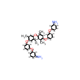 Cc1cc(Oc2cc(C)c(Oc3cccc(Oc4cccc(N)c4)c3)cc2C)c(C)cc1Oc1cccc(Oc2cccc(N)c2)c1